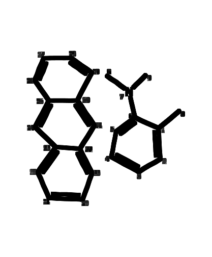 Cc1ccccc1N(C)C.c1ccc2cc3ccccc3cc2c1